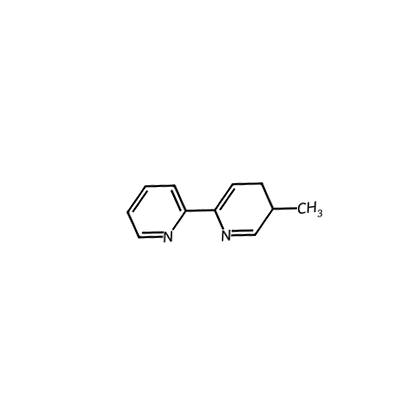 CC1C=NC(c2ccccn2)=CC1